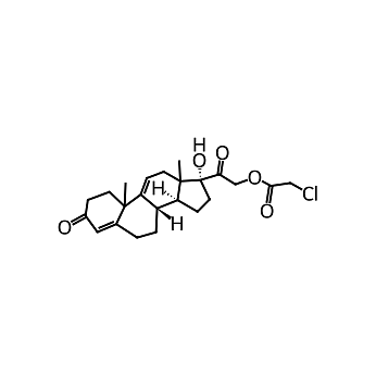 CC12CCC(=O)C=C1CC[C@@H]1C2=CCC2(C)[C@H]1CC[C@]2(O)C(=O)COC(=O)CCl